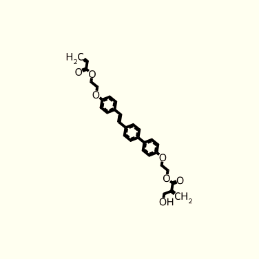 C=CC(=O)OCCOc1ccc(/C=C/c2ccc(-c3ccc(OCCOC(=O)C(=C)CO)cc3)cc2)cc1